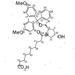 COc1ccc(C(OC[C@H]2C[C@H](O)CN2C(=O)CCCCCCCCC(=O)O)(c2ccccc2)c2ccc(OC)cc2)cc1